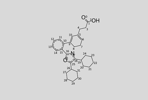 O=C(O)CCC1=CCCC(c2ccccc2-c2nc(C3CCCCC3)c(C3CCCCC3)o2)=C1